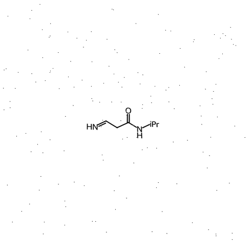 CC(C)NC(=O)CC=N